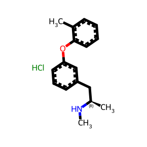 CN[C@H](C)Cc1cccc(Oc2ccccc2C)c1.Cl